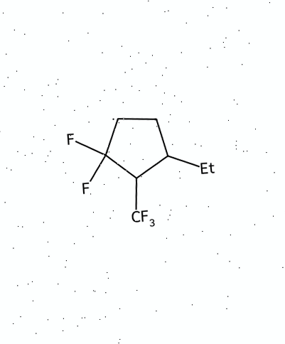 [CH2]CC1C[CH]C(F)(F)C1C(F)(F)F